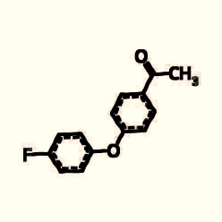 CC(=O)c1ccc(Oc2ccc(F)cc2)cc1